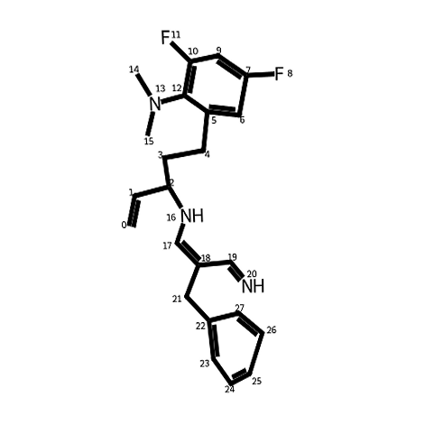 C=CC(CCc1cc(F)cc(F)c1N(C)C)N/C=C(\C=N)Cc1ccccc1